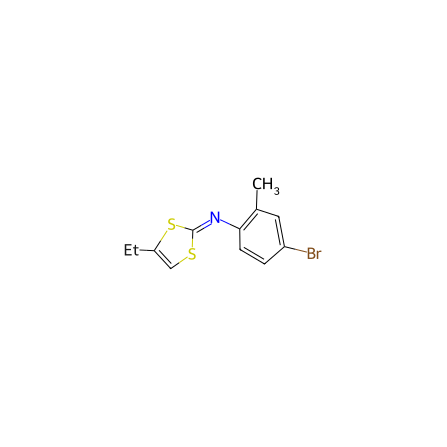 CCc1cs/c(=N\c2ccc(Br)cc2C)s1